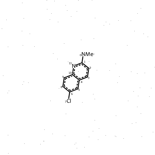 C[N]c1ccc2cc(Cl)ccc2n1